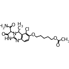 CC(=O)OCCCCCOc1ccc2c(c1Cl)C(C)N1C(=N2)NC(=O)C1C(N)=O